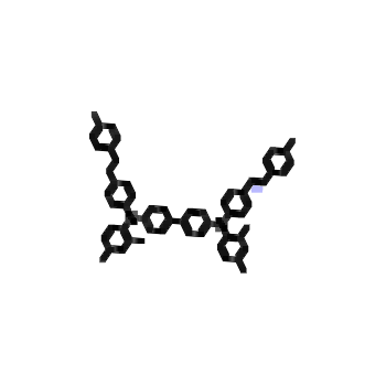 Cc1ccc(/C=C/c2ccc(N(c3ccc(-c4ccc(N(c5ccc(CCc6ccc(C)cc6)cc5)c5ccc(C)cc5C)cc4)cc3)c3ccc(C)cc3C)cc2)cc1